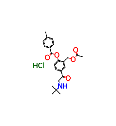 CC(=O)OCc1cc(C(=O)CNC(C)(C)C)ccc1OC(=O)c1ccc(C)cc1.Cl